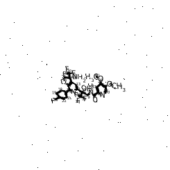 COc1cnc(C(=O)NC[C@](O)(c2cc3c(c(-c4ccc(F)cc4)n2)OC[C@@]3(N)C(F)(F)F)C(F)(F)F)cc1OC